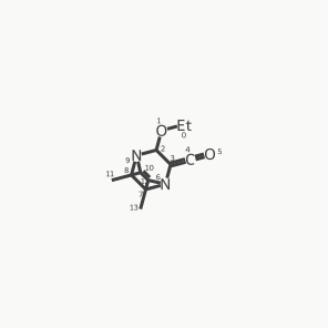 CCOC1C(=C=O)N2CCN1C(C)=C2C